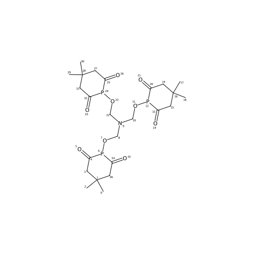 CC1(C)CC(=O)P(OCN(COP2C(=O)CC(C)(C)CC2=O)COP2C(=O)CC(C)(C)CC2=O)C(=O)C1